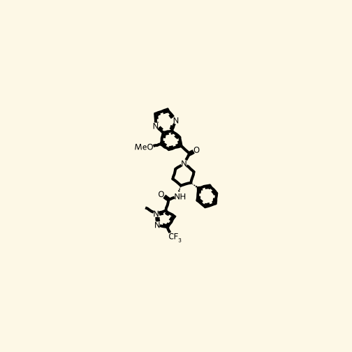 COc1cc(C(=O)N2CC[C@@H](NC(=O)c3cc(C(F)(F)F)nn3C)[C@@H](c3ccccc3)C2)cc2nccnc12